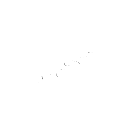 CCCCCC(=O)NCC(=O)NCC(=O)NCC(=O)NC